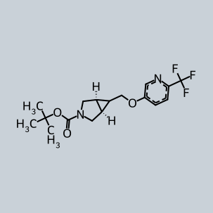 CC(C)(C)OC(=O)N1C[C@@H]2C(COc3ccc(C(F)(F)F)nc3)[C@@H]2C1